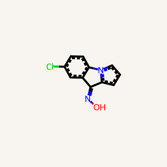 O/N=C1/c2cc(Cl)ccc2-n2cccc21